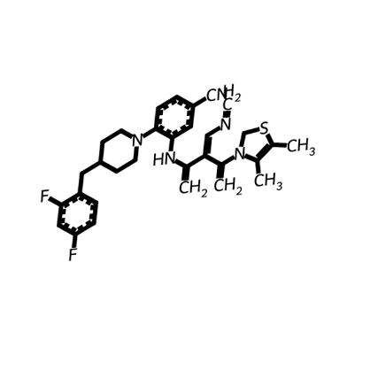 C=N/C=C(/C(=C)Nc1cc(C#N)ccc1N1CCC(Cc2ccc(F)cc2F)CC1)C(=C)N1CSC(C)=C1C